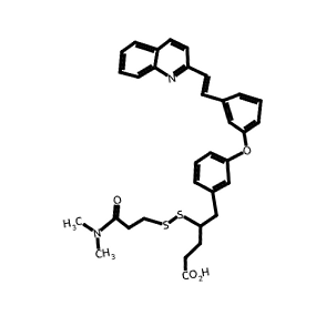 CN(C)C(=O)CCSSC(CCC(=O)O)Cc1cccc(Oc2cccc(C=Cc3ccc4ccccc4n3)c2)c1